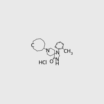 Cc1ccccc1N1CNC(=O)C12CCN(C1CCCCCCCCC1)CC2.Cl